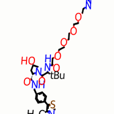 Cc1ncsc1-c1ccc(CNC(=O)[C@@H]2C[C@@H](O)CN2C(=O)C(NC(=O)COCCOCCOCCOCCN=[N+]=[N-])C(C)(C)C)cc1